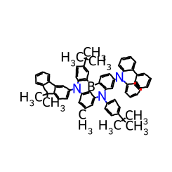 Cc1cc2c3c(c1)N(c1ccc(C(C)(C)C)cc1)c1cc(N(c4ccccc4)c4ccccc4-c4ccccc4)ccc1B3c1cc(C(C)(C)C)ccc1N2c1ccc2c(c1)-c1ccccc1C2(C)C